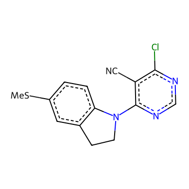 CSc1ccc2c(c1)CCN2c1ncnc(Cl)c1C#N